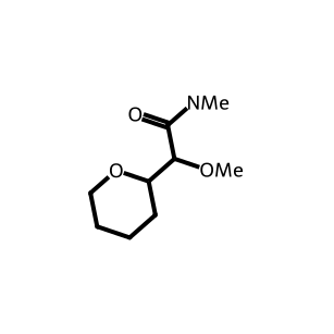 CNC(=O)C(OC)C1CCCCO1